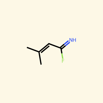 CC(C)=CC(=N)F